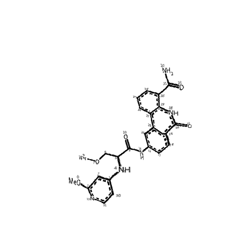 COc1cc(NC(COC(C)C)C(=O)Nc2ccc3c(=O)[nH]c4c(C(N)=O)cccc4c3c2)ccn1